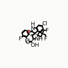 O=C(O)[C@@H]1NC2(CC(CF)(CF)C2)[C@@]2(C(=O)Nc3cc(Cl)ccc32)[C@H]1c1cccc(F)c1Cl